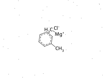 Cc1ccccc1.[CH3][Mg+].[Cl-]